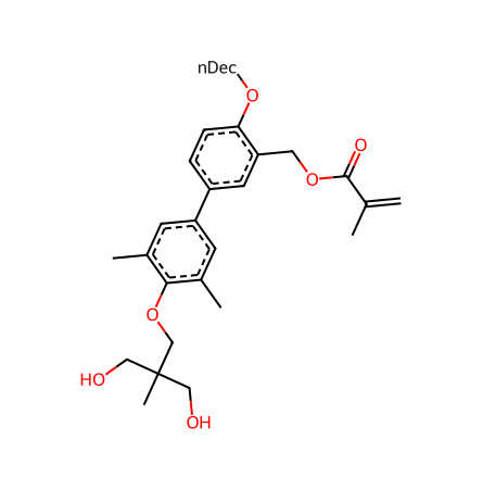 C=C(C)C(=O)OCc1cc(-c2cc(C)c(OCC(C)(CO)CO)c(C)c2)ccc1OCCCCCCCCCC